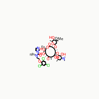 CCCN(CCOc1c(Cl)cc(Cl)cc1Cl)C(=O)n1ccnc1.CC[C@H]1OC(=O)[C@H](C)[C@@H](O[C@H]2C[C@@](C)(OC)[C@@H](O)[C@H](C)O2)[C@H](C)[C@@H](O[C@@H]2O[C@H](C)C[C@H](N(C)C)[C@H]2O)[C@](C)(O)C[C@@H](C)C(=O)[C@H](C)[C@@H](O)[C@]1(C)O